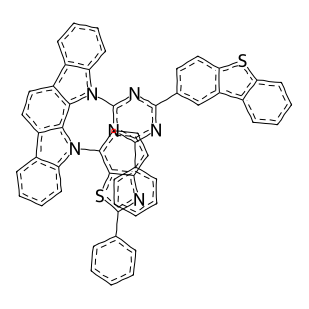 c1ccc(-c2nc(-c3ccc4sc5ccccc5c4c3)nc(-n3c4ccccc4c4ccc5c6ccccc6n(-c6cccc7nc(-c8ccccc8)sc67)c5c43)n2)cc1